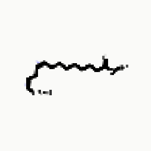 CCCCC/C=C\C/C=C\CCCCCCCC(=O)OC(C)C